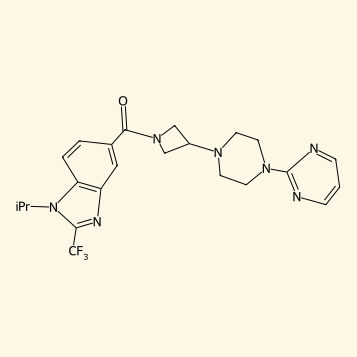 CC(C)n1c(C(F)(F)F)nc2cc(C(=O)N3CC(N4CCN(c5ncccn5)CC4)C3)ccc21